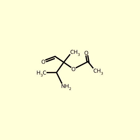 CC(=O)OC(C)(C=O)C(C)N